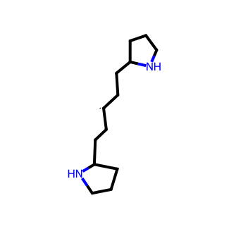 [CH](CCC1CCCN1)CCC1CCCN1